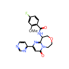 COc1cc(F)ccc1C(=O)NC1COCCn2c1nc(-c1ccncn1)cc2=O